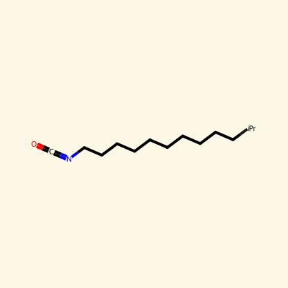 CC(C)CCCCCCCCCCN=C=O